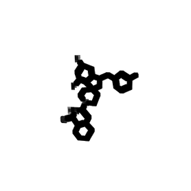 Cc1cccc(CC2CC3(CCN(c4cc5c(c(=O)[nH]4)CCCC5)CC3)c3c(F)cc(F)cc32)c1